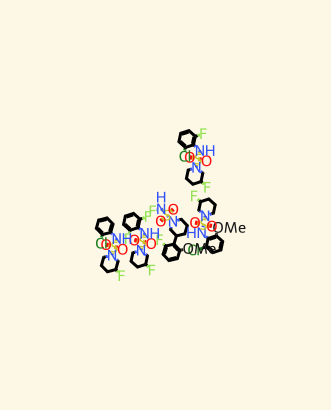 COc1cccc(Cl)c1NS(=O)(=O)N1CCCC(F)C1.COc1cccc(F)c1C1CCCN(S(=O)(=O)NF)C1.O=S(=O)(Nc1c(F)cccc1Cl)N1CCCC(F)C1.O=S(=O)(Nc1c(F)cccc1F)N1CCCC(F)C1.O=S(=O)(Nc1ccccc1Cl)N1CCCC(F)C1